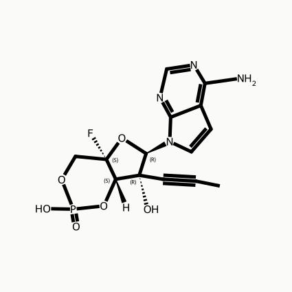 CC#C[C@]1(O)[C@H](n2ccc3c(N)ncnc32)O[C@]2(F)COP(=O)(O)O[C@@H]12